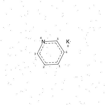 [K].c1ccncc1